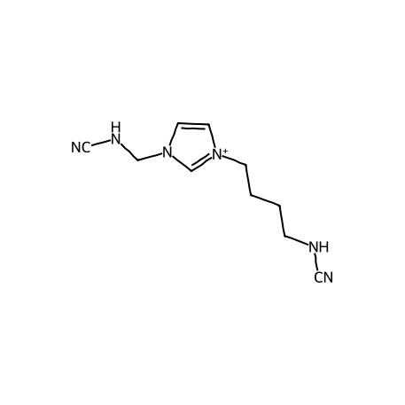 N#CNCCCC[n+]1ccn(CNC#N)c1